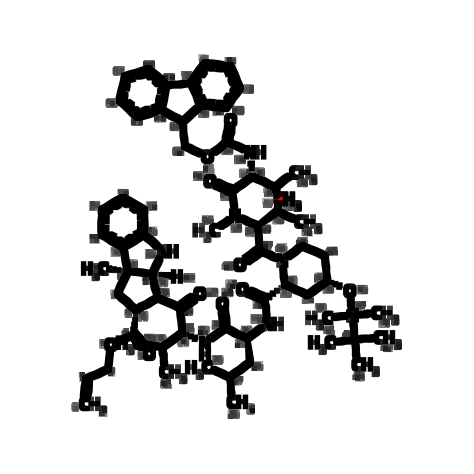 C=CCOC(=O)[C@@H]1C[C@@]2(C)c3ccccc3N[C@H]2C1C(=O)[C@H](NC(=O)[C@H](CC(C)C)NC(=O)[C@H]1C[C@@H](O[Si](C)(C)C(C)(C)C)CCN1C(=O)[C@H](C(C)C)N(C)C(=O)[C@H](NC(=O)OCC1c2ccccc2-c2ccccc21)C(C)C)C(C)C